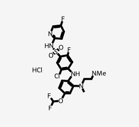 CNCCN(C)c1cc(OC(F)F)ccc1Nc1cc(F)c(S(=O)(=O)Nc2ccc(F)cn2)cc1Cl.Cl